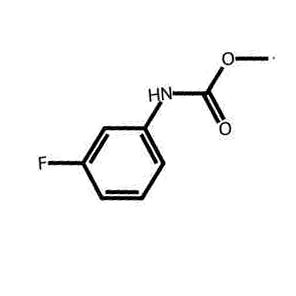 [CH2]OC(=O)Nc1cccc(F)c1